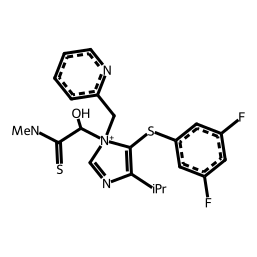 CNC(=S)C(O)[N+]1(Cc2ccccn2)C=NC(C(C)C)=C1Sc1cc(F)cc(F)c1